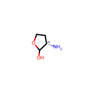 N[C@H]1CCOC1O